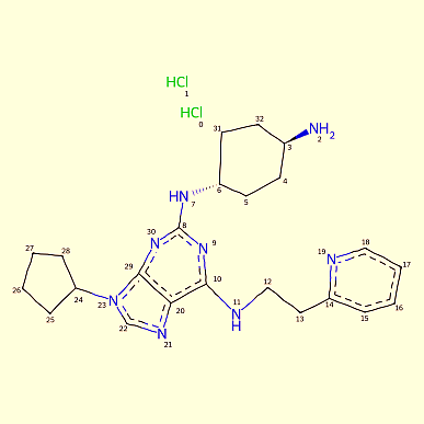 Cl.Cl.N[C@H]1CC[C@H](Nc2nc(NCCc3ccccn3)c3ncn(C4CCCC4)c3n2)CC1